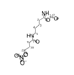 NC(CCCCNC(=O)CCCO[N+](=O)[O-])OC=O